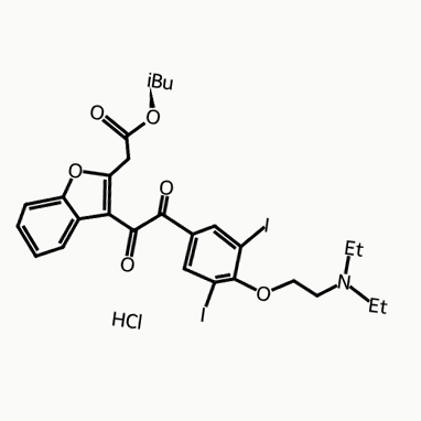 CC[C@H](C)OC(=O)Cc1oc2ccccc2c1C(=O)C(=O)c1cc(I)c(OCCN(CC)CC)c(I)c1.Cl